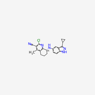 Cc1c(C#N)c(Cl)nc2c1CCC[C@H]2Nc1ccc2[nH]nc(C3CC3)c2c1